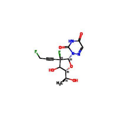 C[C@H](O)[C@H]1O[C@@H](n2ncc(=O)[nH]c2=O)[C@@](F)(C#CCF)C1O